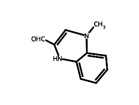 CN1C=C(C=O)Nc2ccccc21